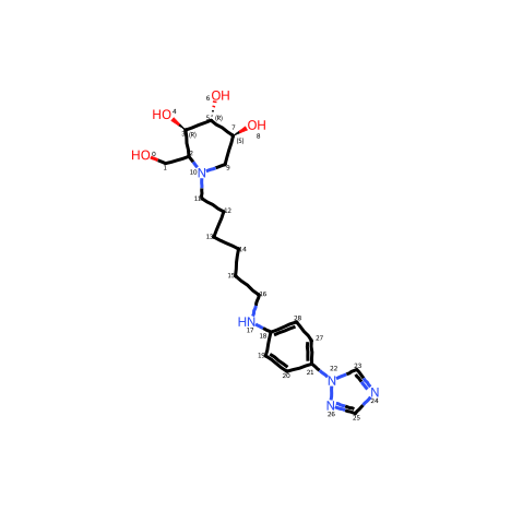 OCC1[C@@H](O)[C@H](O)[C@@H](O)CN1CCCCCCNc1ccc(-n2cncn2)cc1